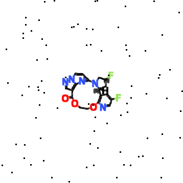 O=C1OCCOc2ncc(F)cc2[C@H]2C[C@H](F)CN2c2ccn3ncc1c3n2